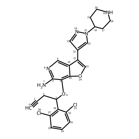 C#CCC(Oc1c(N)ncc2c(-c3cnn(C4CCNCC4)c3)coc12)c1c(Cl)cccc1Cl